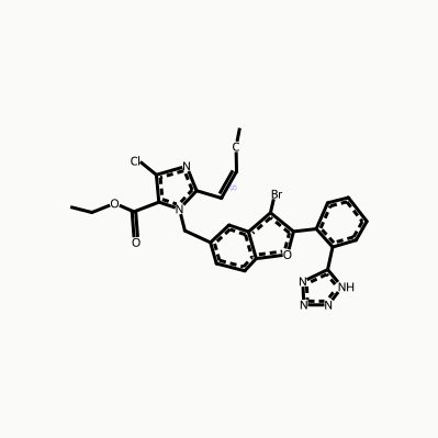 CC/C=C\c1nc(Cl)c(C(=O)OCC)n1Cc1ccc2oc(-c3ccccc3-c3nnn[nH]3)c(Br)c2c1